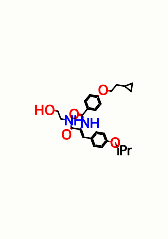 CC(C)Oc1ccc(C=C(NC(=O)c2ccc(OCCC3CC3)cc2)C(=O)NCCO)cc1